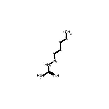 CCCCC[N]NC(=N)N